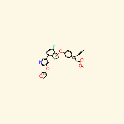 CC#C[C@@H](CC(=O)OC)c1ccc(O[C@@H]2CCc3c(-c4cncc(O[C@@H]5CCOC5)c4)ccc(F)c32)cc1